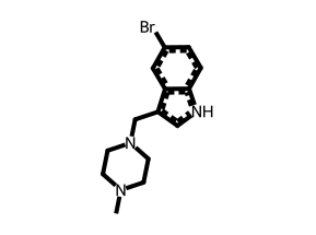 CN1CCN(Cc2c[nH]c3ccc(Br)cc23)CC1